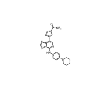 NC(=O)c1coc(-c2cnc(Nc3ccc(N4CCCCC4)cc3)c3ncnn23)c1